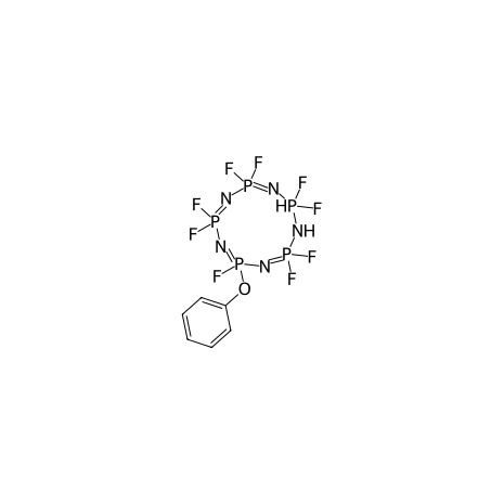 FP1(F)=NP(F)(F)=N[PH](F)(F)NP(F)(F)=NP(F)(Oc2ccccc2)=N1